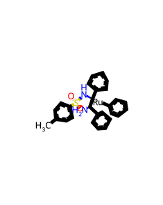 Cc1ccc(S(=O)(=O)N[C@]([Ru][c]2ccccc2)(c2ccccc2)[C@@H](N)c2ccccc2)cc1